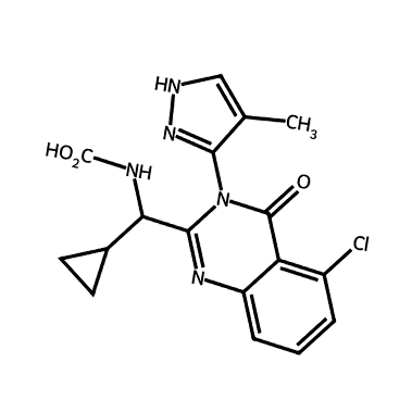 Cc1c[nH]nc1-n1c(C(NC(=O)O)C2CC2)nc2cccc(Cl)c2c1=O